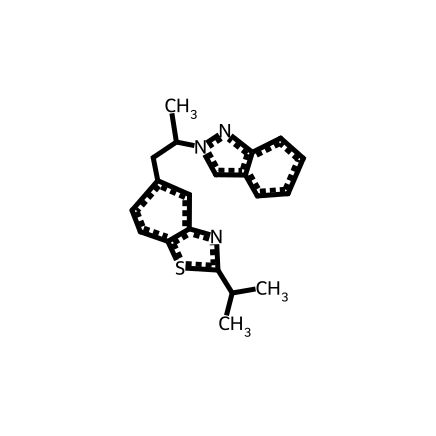 CC(C)c1nc2cc(CC(C)n3cc4ccccc4n3)ccc2s1